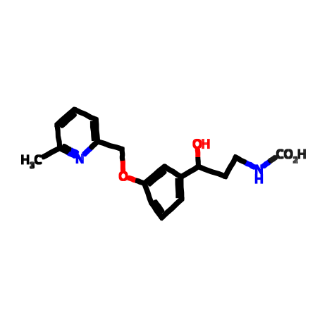 Cc1cccc(COc2cccc(C(O)CCNC(=O)O)c2)n1